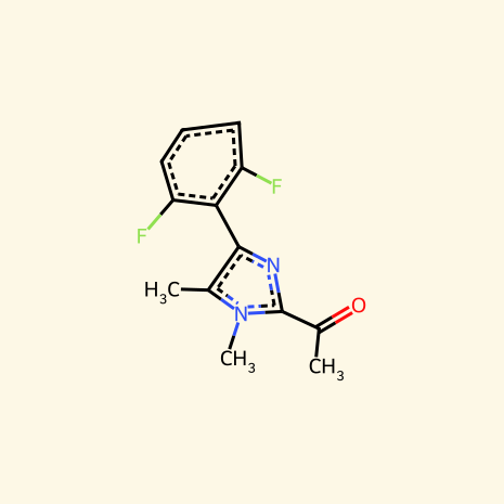 CC(=O)c1nc(-c2c(F)cccc2F)c(C)n1C